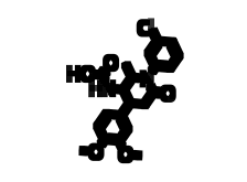 COc1ccc(C2CC(=O)N(c3cccc(Cl)c3)C(C)C2NC(=O)O)cc1OC